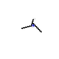 [CH2]CCCc1cc(CCCCCCCCCC)nc(CCCCCCCCCC)c1